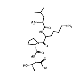 CC(C)C[C@H](N)C(=O)N[C@@H](CCCCN)C(=O)N1CCC[C@H]1C(=O)N[C@H](C(=O)O)[C@@H](C)O